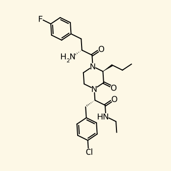 CCC[C@H]1C(=O)N([C@@H](Cc2ccc(Cl)cc2)C(=O)NCC)CCN1C(=O)[C@H](N)Cc1ccc(F)cc1